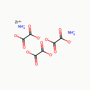 O=C([O-])C(=O)[O-].O=C([O-])C(=O)[O-].O=C([O-])C(=O)[O-].[NH4+].[NH4+].[Zr+4]